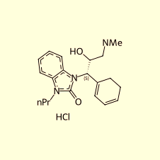 CCCn1c(=O)n([C@@H](C2=CC=CCC2)C(O)CNC)c2ccccc21.Cl